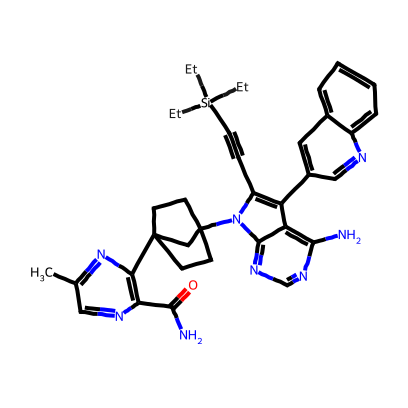 CC[Si](C#Cc1c(-c2cnc3ccccc3c2)c2c(N)ncnc2n1C12CCC(c3nc(C)cnc3C(N)=O)(CC1)C2)(CC)CC